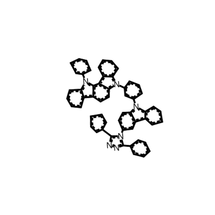 c1ccc(-c2nnc(-c3ccccc3)n2-c2ccc3c(c2)c2ccccc2n3-c2cccc(-n3c4ccccc4c4c3ccc3c5ccccc5n(-c5ccccc5)c34)c2)cc1